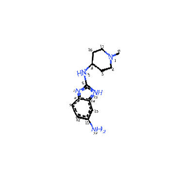 CN1CCC(Nc2nc3ccc(N)cc3[nH]2)CC1